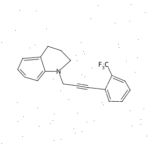 FC(F)(F)c1ccccc1C#CCN1CCCc2ccccc21